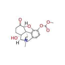 COC(=O)Oc1ccc2c3c1O[C@@H]1C(=O)CC[C@]4(O)[C@H](C2)N(C)CC[C@@]314